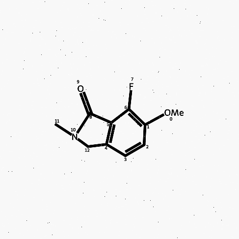 COc1ccc2c(c1F)C(=O)N(C)C2